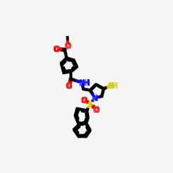 COC(=O)c1ccc(C(=O)NCC2CC(S)CN2S(=O)(=O)c2ccc3ccccc3c2)cc1